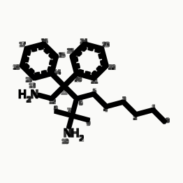 CCCCCCC(C(C)(C)N)C(CN)(c1ccccc1)c1ccccc1